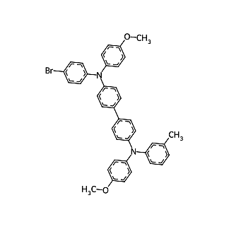 COc1ccc(N(c2ccc(Br)cc2)c2ccc(-c3ccc(N(c4ccc(OC)cc4)c4cccc(C)c4)cc3)cc2)cc1